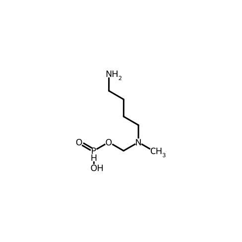 CN(CCCCN)CO[PH](=O)O